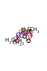 CC(C)(C)OC(=O)/C=C\Oc1ccccc1-c1cccc(CC2C(NS(C)(=O)=O)CCCN2C(=O)OC(C)(C)C)c1